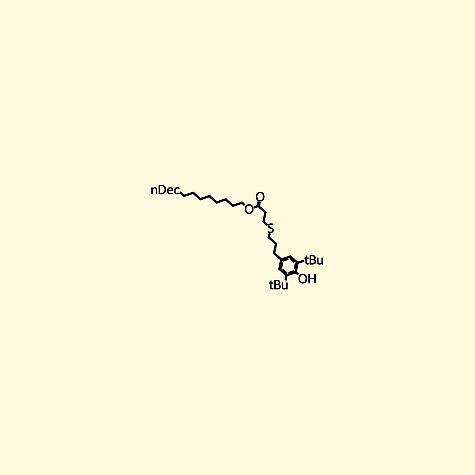 CCCCCCCCCCCCCCCCCCOC(=O)CCSCCCc1cc(C(C)(C)C)c(O)c(C(C)(C)C)c1